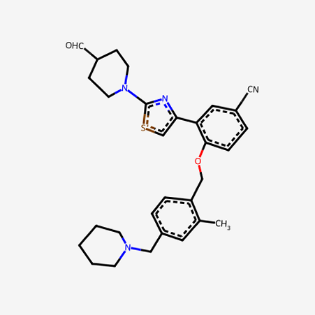 Cc1cc(CN2CCCCC2)ccc1COc1ccc(C#N)cc1-c1csc(N2CCC(C=O)CC2)n1